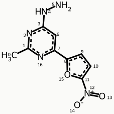 Cc1nc(NN)cc(-c2ccc([N+](=O)[O-])o2)n1